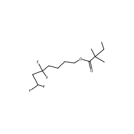 CCC(C)(C)C(=O)OCCCCC(F)(F)CC(F)F